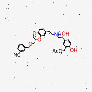 CC(=O)OCc1cc([C@@H](O)CNCCc2ccc3c(c2)O[C@H](COCc2cccc(C#N)c2)CO3)ccc1O